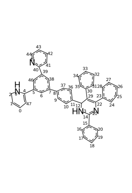 C1=CCNC(c2cc(-c3ccc(C4NC(c5ccccc5)=NC(c5ccccc5)=C4c4ccccc4)cc3)cc(-c3ccccn3)c2)=C1